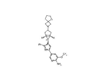 CC(C)n1nc(-c2cnc(N)c(OC(F)(F)F)c2)cc1[C@H]1[C@@H]2CC(N3CC4(CCCO4)C3)C[C@@H]21